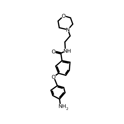 Nc1ccc(Oc2cccc(C(=O)NCCN3CCOCC3)c2)cc1